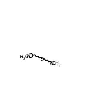 COCCCCCOCCCCCC1CCN(C)CC1